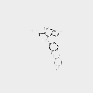 CN1CCC(Oc2ccc(Nc3c(C(N)=O)nnc4[nH]ccc34)cc2Cl)CC1